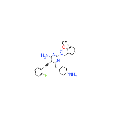 Nc1nc(NCc2ccccc2OC(F)(F)F)nc(C[C@H]2CC[C@H](N)CC2)c1C#Cc1ccccc1F